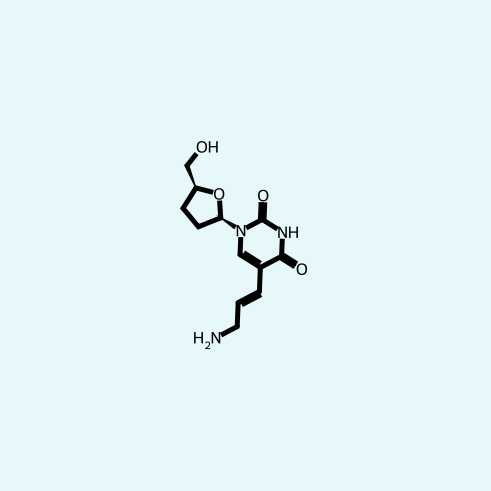 NC/C=C/c1cn([C@H]2CC[C@@H](CO)O2)c(=O)[nH]c1=O